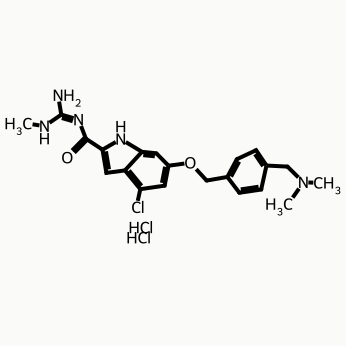 CNC(N)=NC(=O)c1cc2c(Cl)cc(OCc3ccc(CN(C)C)cc3)cc2[nH]1.Cl.Cl